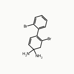 NC1(N)C=CC(c2ccccc2Br)=C(Br)C1